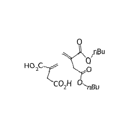 C=C(CC(=O)O)C(=O)O.C=C(CC(=O)OCCCC)C(=O)OCCCC